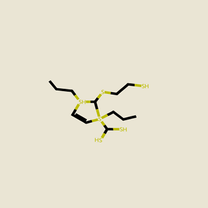 CCC[SH]1C=CS(CCC)(C(S)S)C1SCCS